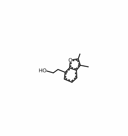 Cc1oc2c(CCO)cccc2c1C